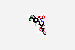 COC(=O)N1CC[C@@H](c2cc(=O)[nH]o2)C[C@H]1c1ccc(C(F)(F)F)cc1F